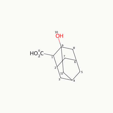 O=C(O)C1C2CC3CC(C2)CC1(O)C3